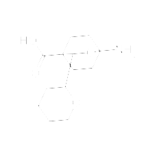 NC12CCC(C(=O)O)(CC1)C(C1CCCCO1)C2